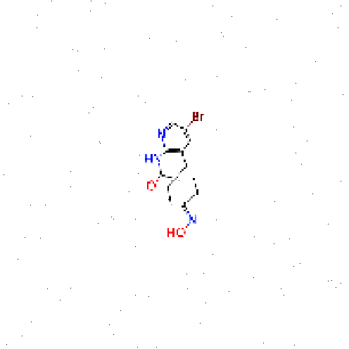 O=C1Nc2ncc(Br)cc2CC12CCC(=NO)CC2